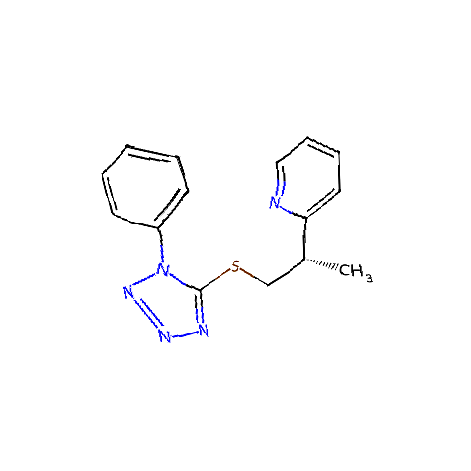 C[C@H](CSc1nnnn1-c1ccccc1)c1ccccn1